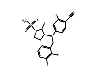 CS(=O)(=O)N1CC[C@H](N(Cc2cccc(F)c2F)c2ccc(C#N)c(Cl)c2)C1I